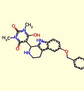 Cn1c(O)c(C2NCCc3c2[nH]c2ccc(OCc4ccccc4)cc32)c(=O)n(C)c1=O